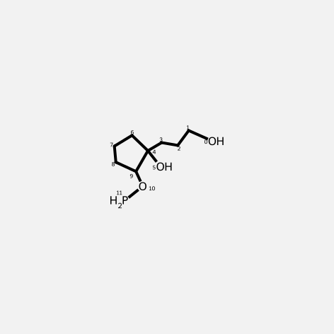 OCCCC1(O)CCCC1OP